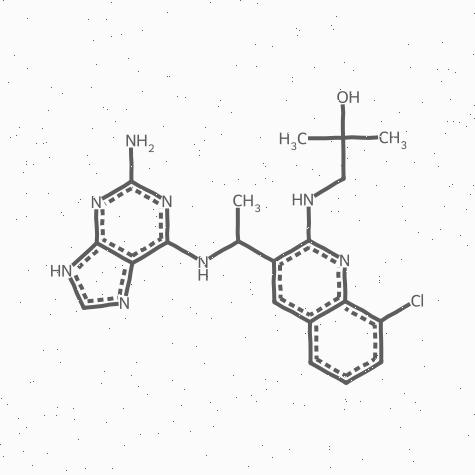 CC(Nc1nc(N)nc2[nH]cnc12)c1cc2cccc(Cl)c2nc1NCC(C)(C)O